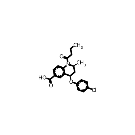 CCCC(=O)N1c2ccc(C(=O)O)cc2[C@H](Oc2ccc(Cl)cc2)C[C@@H]1C